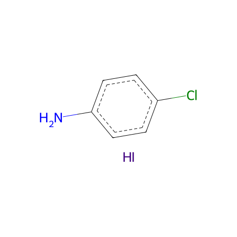 I.Nc1ccc(Cl)cc1